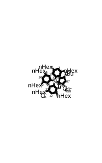 CCCCCCc1cc(CCCCCC)cc([Si](c2cc(CCCCCC)cc(CCCCCC)c2)(c2cc(CCCCCC)cc(CCCCCC)c2)[C]2([Ti+3])C=CC(C(C)(C)C)=C2)c1.[Cl-].[Cl-].[Cl-]